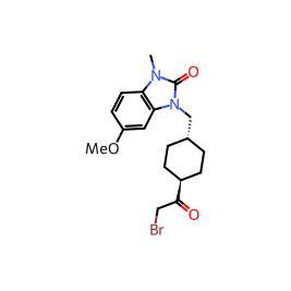 COc1ccc2c(c1)n(C[C@H]1CC[C@H](C(=O)CBr)CC1)c(=O)n2C